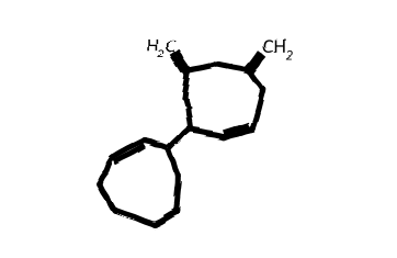 C=C1CC=CC(C2C=CCCCCC2)CC(=C)C1